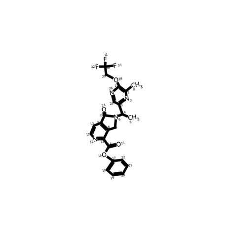 Cc1nc(C(C)N2Cc3c(ccnc3C(=O)Oc3ccccc3)C2=O)cnc1OCC(F)(F)F